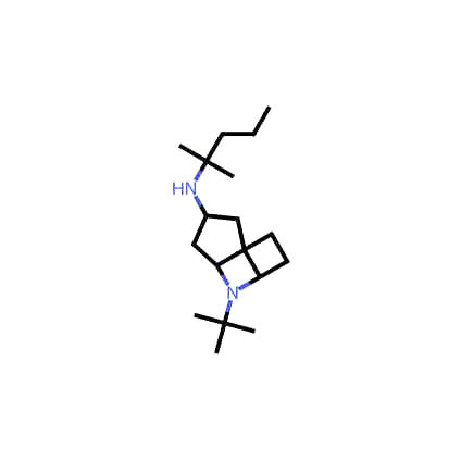 CCCC(C)(C)NC1CC2N(C(C)(C)C)C3CCC32C1